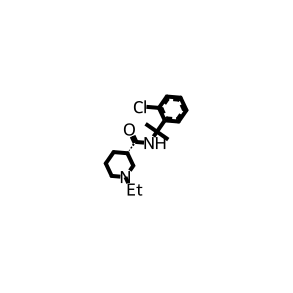 CCN1CCC[C@H](C(=O)NC(C)(C)c2ccccc2Cl)C1